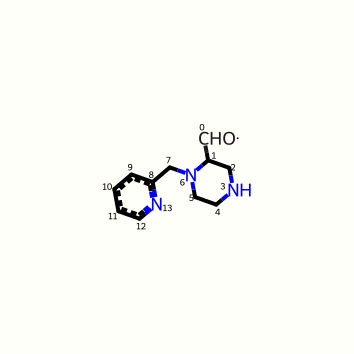 O=[C]C1CNCCN1Cc1ccccn1